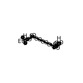 CC/C(=C(\c1ccccc1)c1ccc(OCCN(C)C(=O)CCOCCOCCOCCOCCOCCNc2cccc3c2C(=O)N(C2CCC(=O)NC2=O)C3=O)cc1)c1ccccc1